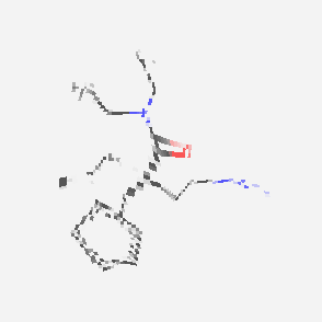 CCN(CC)C(=O)[C@@](CC)(CCN)c1ccccc1